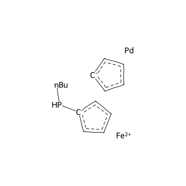 CCCCP[c-]1cccc1.[Fe+2].[Pd].c1cc[cH-]c1